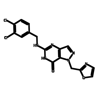 O=c1[nH]c(NCc2ccc(Cl)c(Cl)c2)nc2cnn(Cc3ncco3)c12